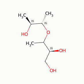 CC(O[C@@H](C)[C@H](C)O)[C@@H](O)CO